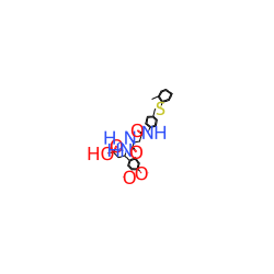 COc1ccc(C(CC(=O)O)NC(=O)C(N)CC(=O)Nc2ccc(CSc3ccccc3C)cc2)cc1OC